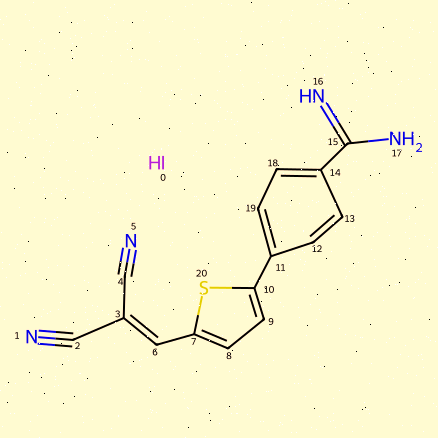 I.N#CC(C#N)=Cc1ccc(-c2ccc(C(=N)N)cc2)s1